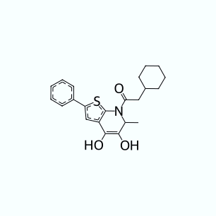 CC1C(O)=C(O)c2cc(-c3ccccc3)sc2N1C(=O)CC1CCCCC1